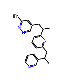 CC(C)c1cc(CC(C)c2cccc(CC(C)c3cccnc3)n2)cnn1